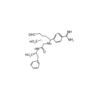 N=C(N)c1ccc(C(CCCC=O)N[C@@H](CC(=O)O)C(=O)N[C@@H](Cc2ccccc2)C(=O)O)cc1